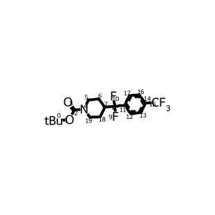 CC(C)(C)OC(=O)N1CCC(C(F)(F)c2ccc(C(F)(F)F)cc2)CC1